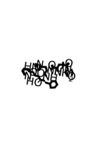 CC(C)(CC(N)C(=O)NC(Cc1c[nH]cn1)C(=O)N[C@@H](CC1CCCCC1)[C@@H](O)CCOc1ccccn1)C(=O)N1CCOCC1